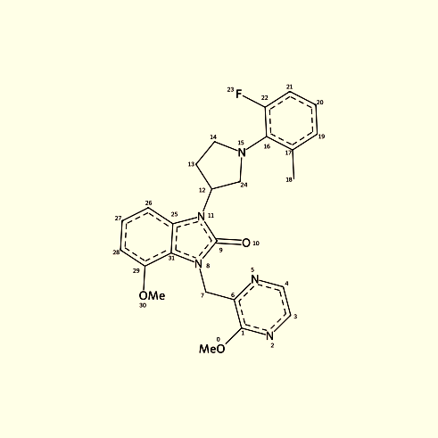 COc1nccnc1Cn1c(=O)n(C2CCN(c3c(C)cccc3F)C2)c2cccc(OC)c21